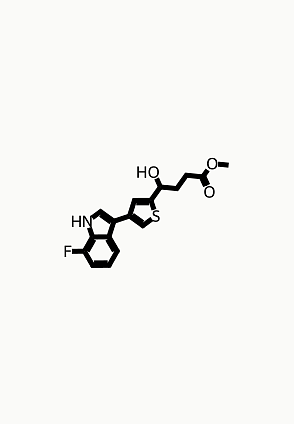 COC(=O)CCC(O)c1cc(-c2c[nH]c3c(F)cccc23)cs1